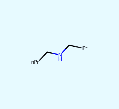 [CH2-][CH+]CCNCC(C)C